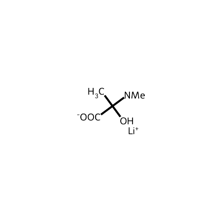 CNC(C)(O)C(=O)[O-].[Li+]